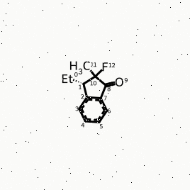 CC[C@H]1c2ccccc2C(=O)C1(C)F